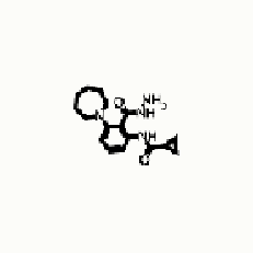 NNC(=O)c1c(NC(=O)C2CC2)cccc1N1CCCCCC1